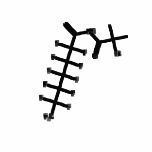 C=C(NC(=O)C(C)(C)CC)C(F)(F)C(F)(F)C(F)(F)C(F)(F)C(F)(F)C(F)(F)F